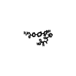 CC(CNC(=O)O)CC(=O)N1CCC[C@H]1c1nc(-c2ccc(-c3ccc(C(=O)CN)cc3)cc2)c[nH]1